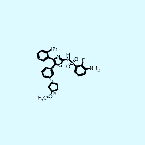 CC(C)c1ccccc1-c1nc(NS(=O)(=O)c2cccc(N)c2F)sc1-c1cccc([C@@H]2CC[C@@H](OC(F)(F)F)C2)c1